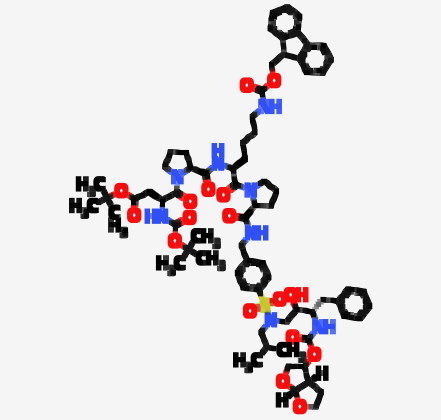 CC(C)CN(C[C@@H](O)[C@H](Cc1ccccc1)NC(=O)OC1CO[C@H]2OCC[C@@H]12)S(=O)(=O)c1ccc(CNC(=O)[C@@H]2CCCN2C(=O)[C@H](CCCCNC(=O)OCC2c3ccccc3-c3ccccc32)NC(=O)[C@@H]2CCCN2C(=O)[C@H](CC(=O)OC(C)(C)C)NC(=O)OC(C)(C)C)cc1